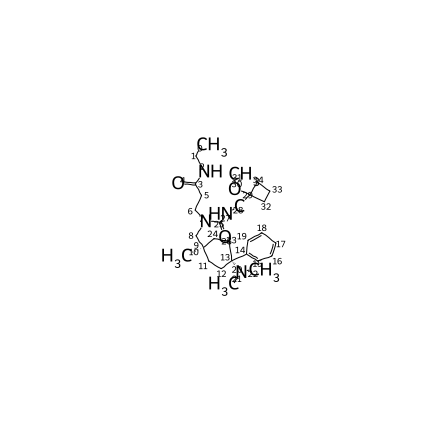 CCNC(=O)CCN(C[C@]1(C)CC[C@@](c2ccccc2)(N(C)C)CC1)C(=O)NCC1(OC)CCC1